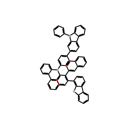 c1ccc(-c2ccccc2N(c2ccc(-c3ccc4c5ccccc5n(-c5ccccc5)c4c3)cc2)c2cccc(-c3cccc4c3oc3ccccc34)c2-c2ccc3ccccc3c2)cc1